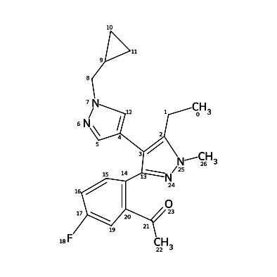 CCc1c(-c2cnn(CC3CC3)c2)c(-c2ccc(F)cc2C(C)=O)nn1C